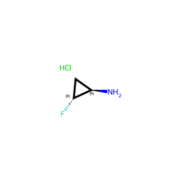 Cl.N[C@@H]1C[C@H]1F